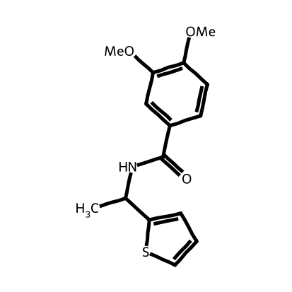 COc1ccc(C(=O)NC(C)c2cccs2)cc1OC